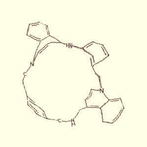 C1=CCC2=C3C=CN(Cc4cccc(c4)NC4C=CN(CCc5ccc(cc5)CN3)c3ccccc34)C2=C1